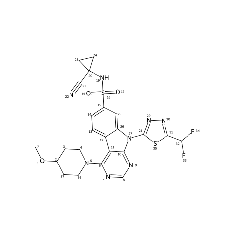 COC1CCN(c2ncnc3c2c2ccc(S(=O)(=O)NC4(C#N)CC4)cc2n3-c2nnc(C(F)F)s2)CC1